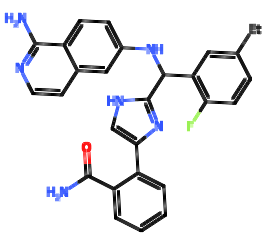 CCc1ccc(F)c(C(Nc2ccc3c(N)nccc3c2)c2nc(-c3ccccc3C(N)=O)c[nH]2)c1